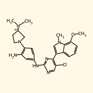 COc1cccc2c(-c3nc(Nc4ccc(N5CC[C@@H](N(C)C)C5)c(N)c4)ncc3Cl)cn(C)c12